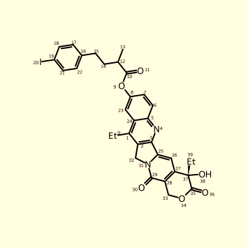 CCc1c2c(nc3ccc(OC(=O)C(C)CCc4ccc(I)cc4)cc13)-c1cc3c(c(=O)n1C2)COC(=O)[C@]3(O)CC